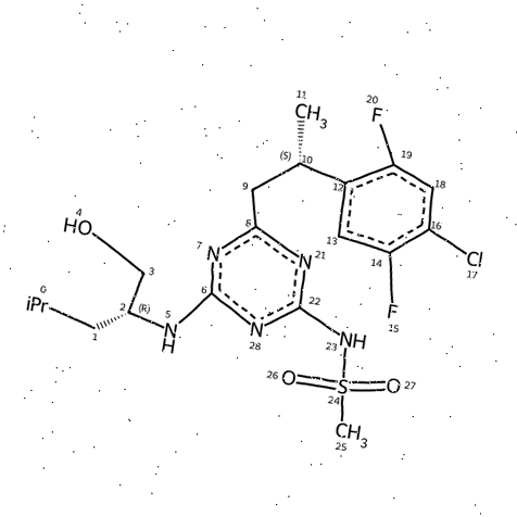 CC(C)C[C@H](CO)Nc1nc(C[C@H](C)c2cc(F)c(Cl)cc2F)nc(NS(C)(=O)=O)n1